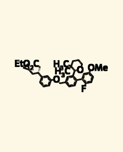 CCOC(=O)C[C@@H](CC1CC1)c1cccc(OCc2ccc(-c3cc(OC)ccc3F)c(C3OCCCC3(C)C)c2)c1